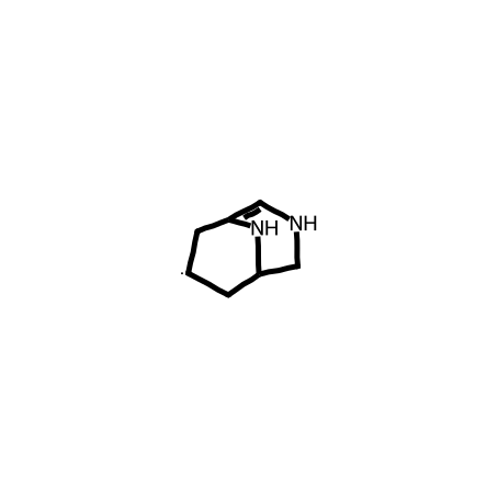 [CH]1CC2=CNCC(C1)N2